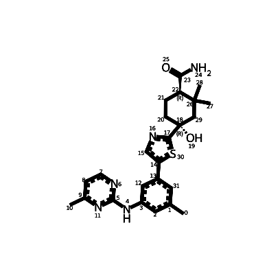 Cc1cc(Nc2nccc(C)n2)cc(-c2cnc([C@@]3(O)CC[C@@H](C(N)=O)C(C)(C)C3)s2)c1